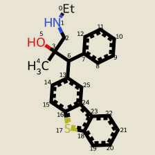 CCNCC(C)(O)C(c1ccccc1)c1ccc2sc3ccccc3c2c1